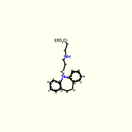 CCOC(=O)CCNCCCN1c2ccccc2CCc2ccccc21